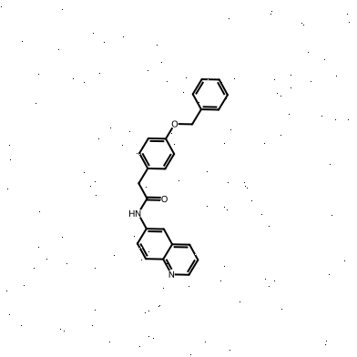 O=C(Cc1ccc(OCc2ccccc2)cc1)Nc1ccc2ncccc2c1